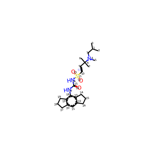 CC(C)CN(C)C(C)(C)/C=C/S(=O)(=O)NC(=O)Nc1c2c(cc3c1CCC3)CCC2